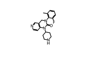 Cc1cccc(F)c1N1Cc2cnccc2N(C2CCNCC2)C1=O